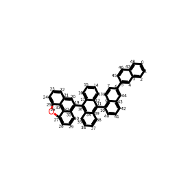 c1ccc2cc(-c3ccc4c(-c5c6ccccc6c(-c6cc7cccc8oc9cccc6c9c78)c6ccccc56)cccc4c3)ccc2c1